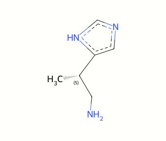 C[C@@H](CN)c1cnc[nH]1